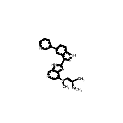 C=N/C(C)=C\N(C)c1cncc2[nH]c(-c3n[nH]c4ccc(-c5cccnc5)cc34)nc12